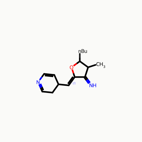 CCCCC1O/C(=C\C2C=CN=CC2)C(=N)C1C